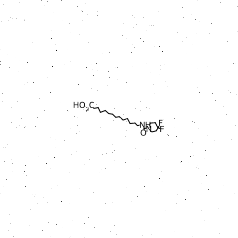 O=C(O)CCCCCCCCCCCCCNC(=O)N1CCC(F)(F)CC1